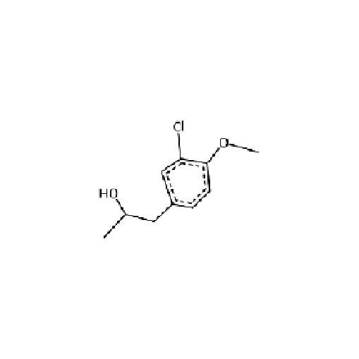 COc1ccc(CC(C)O)cc1Cl